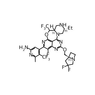 CC[C@@H]1CN2c3nc(OC[C@@]45CCN4CC(F)(F)C5)nc4c(F)c(-c5cc(N)nc(C)c5C(F)(F)F)nc(c34)OC(C(F)(F)F)[C@@H]2CN1